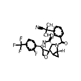 CC(C)(C#N)c1cccc(C(=O)N2[C@@H](C(=O)N[C@@H](c3ccc(C(F)(F)F)cc3F)C3COC3)CC3C[C@H]32)c1